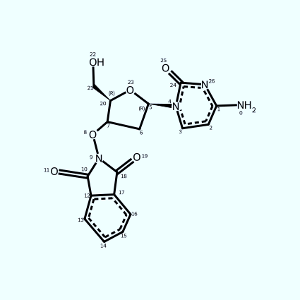 Nc1ccn([C@H]2CC(ON3C(=O)c4ccccc4C3=O)[C@@H](CO)O2)c(=O)n1